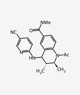 CNC(=O)c1ccc2c(c1)C(Nc1ccc(C#N)cn1)[C@@H](C)[C@H](C)N2C(C)=O